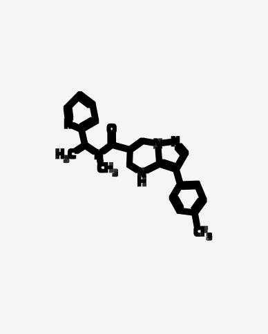 CC(c1ccccn1)N(C)C(=O)C1CNc2c(-c3ccc(C(F)(F)F)cc3)cnn2C1